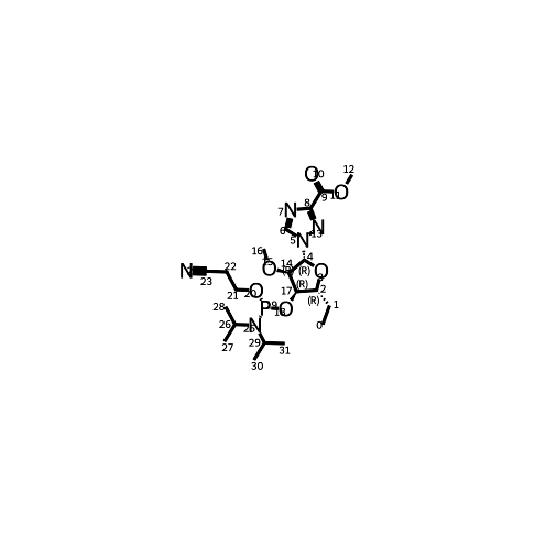 CC[C@H]1O[C@@H](n2cnc(C(=O)OC)n2)[C@H](OC)[C@@H]1OP(OCCC#N)N(C(C)C)C(C)C